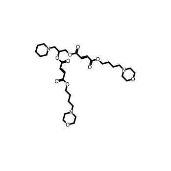 O=C(/C=C/C(=O)OCC(CN1CCCCC1)OC(=O)/C=C/C(=O)OCCCCN1CCOCC1)OCCCCN1CCOCC1